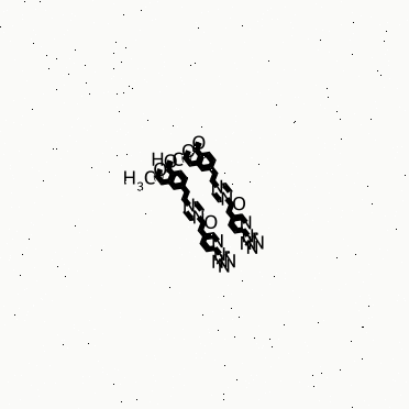 C[C@H]1Cc2cc(CCN3CCN(C(=O)Cc4ccc(-n5cnnn5)nc4)CC3)ccc2C(=O)O1.C[C@H]1Cc2cc(CCN3CCN(C(=O)Cc4ccc(-n5cnnn5)nc4)CC3)ccc2C(=O)O1